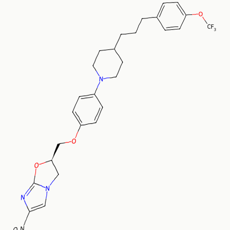 O=[N+]([O-])c1cn2c(n1)O[C@@H](COc1ccc(N3CCC(CCCc4ccc(OC(F)(F)F)cc4)CC3)cc1)C2